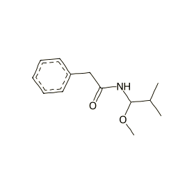 COC(NC(=O)Cc1ccccc1)C(C)C